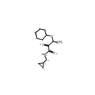 CC(OC1CCCCC1)C(=O)C(=O)NCC1CC1